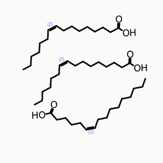 CCCCCC/C=C\CCCCCCCC(=O)O.CCCCCC/C=C\CCCCCCCC(=O)O.CCCCCCCCC/C=C\CCCCC(=O)O